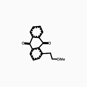 COCCc1cccc2c1C(=O)c1ccccc1C2=O